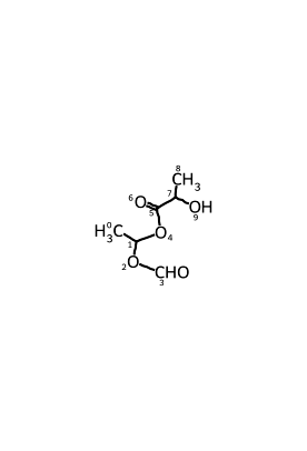 CC(OC=O)OC(=O)C(C)O